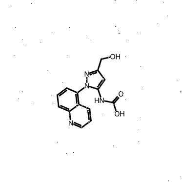 O=C(O)Nc1cc(CO)nn1-c1cccc2ncccc12